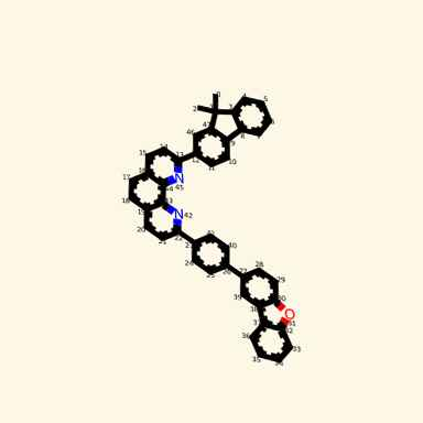 CC1(C)c2ccccc2-c2ccc(-c3ccc4ccc5ccc(-c6ccc(-c7ccc8oc9ccccc9c8c7)cc6)nc5c4n3)cc21